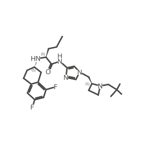 CCC[C@H](N[C@H]1CCc2cc(F)cc(F)c2C1)C(=O)Nc1cn(C[C@@H]2CCN2CC(C)(C)C)cn1